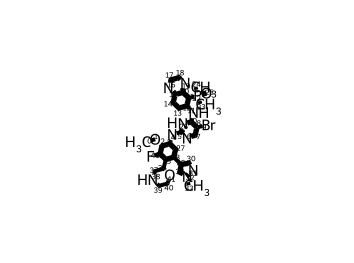 COc1c(Nc2ncc(Br)c(Nc3ccc4nccnc4c3P(C)(C)=O)n2)cc(-c2cnn(C)c2)c(C2CNCCO2)c1F